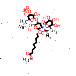 COC(=O)CCCCCCCCO[C@@H]1O[C@H](CO)[C@@H](O[C@@H]2O[C@H](C)C[C@H](OS(=O)(=O)[O-])[C@H]2O)[C@H](O[C@@H]2O[C@@H](C)[C@@H](O)[C@@H](O)[C@@H]2O)[C@H]1NC(C)=O.[Na+]